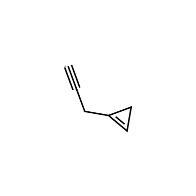 [C]#CCC1=CC1